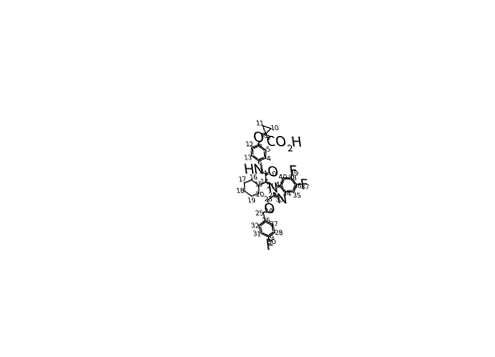 O=C(Nc1ccc(OC2(C(=O)O)CC2)cc1)C(C1CCCCC1)n1c(COCc2ccc(F)cc2)nc2cc(F)c(F)cc21